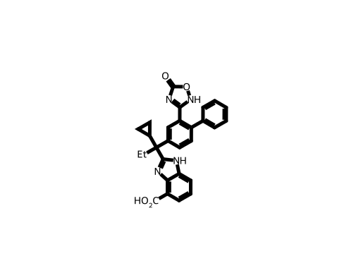 CCC(c1ccc(-c2ccccc2)c(-c2nc(=O)o[nH]2)c1)(c1nc2c(C(=O)O)cccc2[nH]1)C1CC1